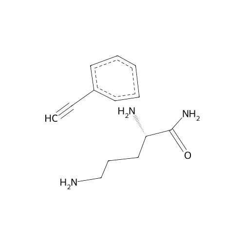 C#Cc1ccccc1.NCCC[C@H](N)C(N)=O